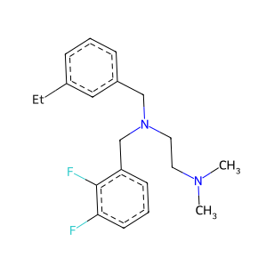 CCc1cccc(CN(CCN(C)C)Cc2cccc(F)c2F)c1